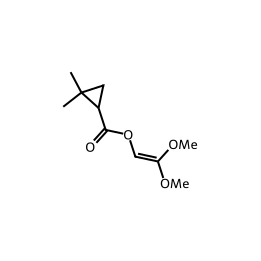 COC(=COC(=O)C1CC1(C)C)OC